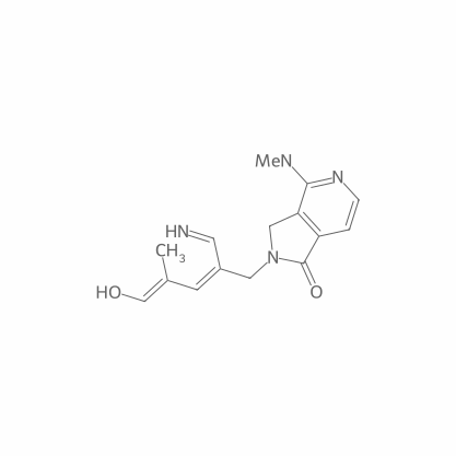 CNc1nccc2c1CN(C/C(C=N)=C/C(C)=C/O)C2=O